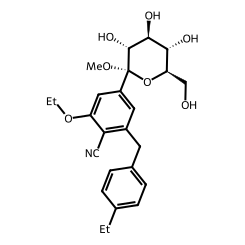 CCOc1cc([C@]2(OC)O[C@H](CO)[C@@H](O)[C@H](O)[C@H]2O)cc(Cc2ccc(CC)cc2)c1C#N